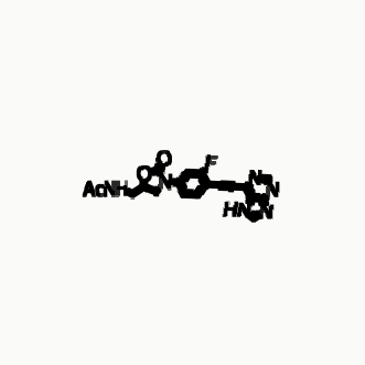 CC(=O)NCC1CN(c2ccc(C#Cc3ncnc4nc[nH]c34)c(F)c2)C(=O)O1